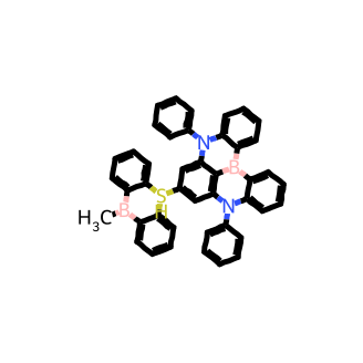 CB1c2ccccc2[SH](c2cc3c4c(c2)N(c2ccccc2)c2ccccc2B4c2ccccc2N3c2ccccc2)c2ccccc21